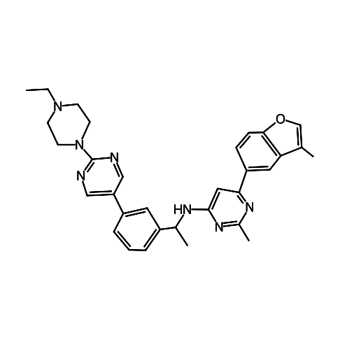 CCN1CCN(c2ncc(-c3cccc(C(C)Nc4cc(-c5ccc6occ(C)c6c5)nc(C)n4)c3)cn2)CC1